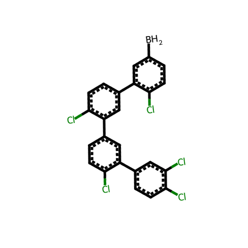 Bc1ccc(Cl)c(-c2ccc(Cl)c(-c3ccc(Cl)c(-c4ccc(Cl)c(Cl)c4)c3)c2)c1